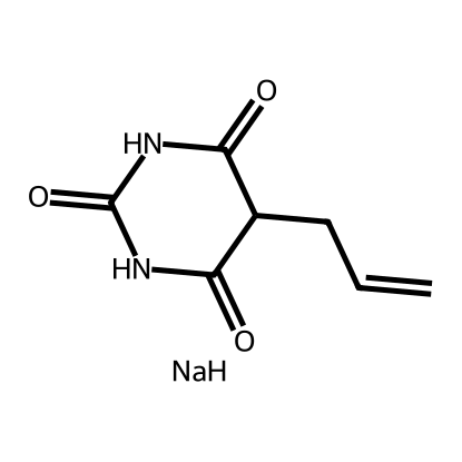 C=CCC1C(=O)NC(=O)NC1=O.[NaH]